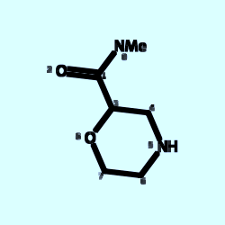 [CH2]NC(=O)C1CNCCO1